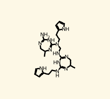 CC1CN=C(NCN(CCc2ccc[nH]2)C2=NC(C)CN=C(N)N2)NC(NCCc2ccc[nH]2)=N1